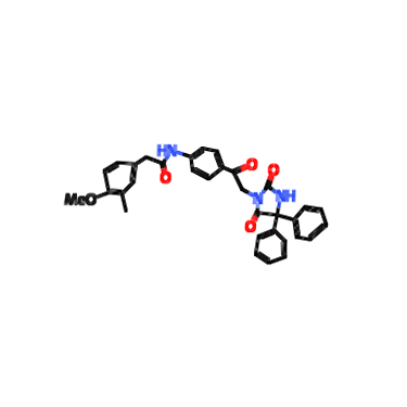 COc1ccc(CC(=O)Nc2ccc(C(=O)CN3C(=O)NC(c4ccccc4)(c4ccccc4)C3=O)cc2)cc1C